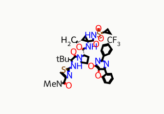 C=C[C@@H]1C[C@]1(NC(=O)[C@@H]1C[C@@H](Oc2nc(-c3ccc(C(F)(F)F)cc3)nc3c2oc2ccccc23)CN1C(=O)[C@@H](Nc1nc(C(=O)NC)cs1)C(C)(C)C)C(=O)NS(=O)(=O)C1CC1